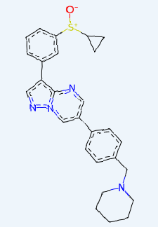 [O-][S+](c1cccc(-c2cnn3cc(-c4ccc(CN5CCCCC5)cc4)cnc23)c1)C1CC1